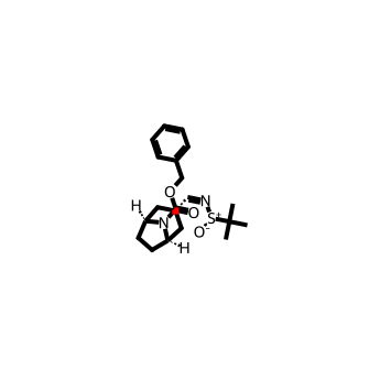 CC(C)(C)[S@+]([O-])/N=C\[C@@H]1C[C@H]2CC[C@@H](C1)N2C(=O)OCc1ccccc1